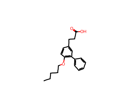 CCCCCOc1ccc(CCC(=O)O)cc1-c1ccccc1